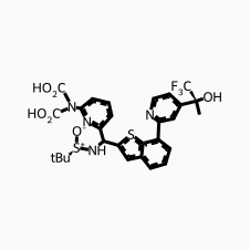 CC(C)(C)[S@@+]([O-])NC(c1cccc(N(C(=O)O)C(=O)O)n1)c1cc2cccc(-c3cc([C@@](C)(O)C(F)(F)F)ccn3)c2s1